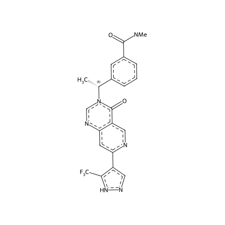 CNC(=O)c1cccc([C@@H](C)n2cnc3cc(-c4cn[nH]c4C(F)(F)F)ncc3c2=O)c1